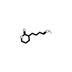 C=CCCCC1CCCOC1=O